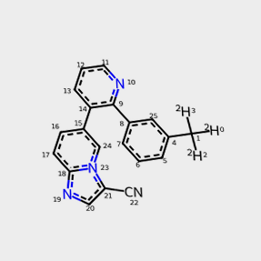 [2H]C([2H])([2H])c1cccc(-c2ncccc2-c2ccc3ncc(C#N)n3c2)c1